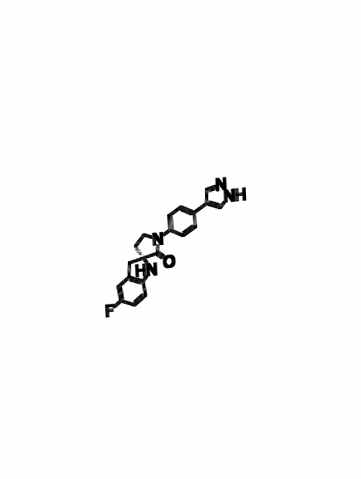 O=C1N(c2ccc(-c3cn[nH]c3)cc2)CC[C@]12Cc1cc(F)ccc1N2